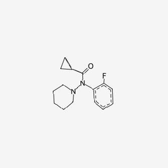 O=C(C1CC1)N(c1ccccc1F)N1CCCCC1